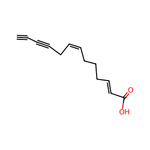 C#CC#CC/C=C\CCC/C=C/C(=O)O